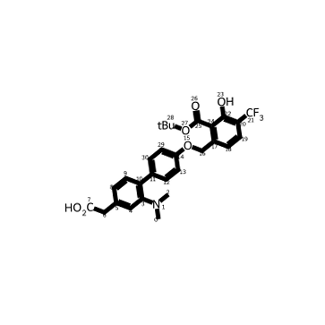 CN(C)c1cc(CC(=O)O)ccc1-c1ccc(OCc2ccc(C(F)(F)F)c(O)c2C(=O)OC(C)(C)C)cc1